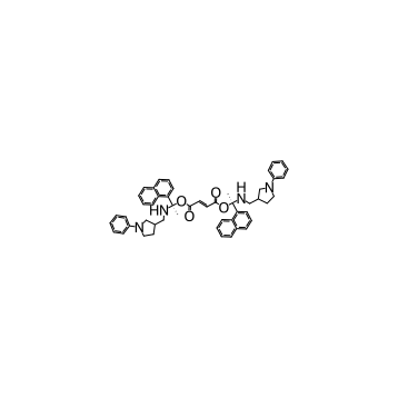 C[C@@](NCC1CCN(c2ccccc2)C1)(OC(=O)/C=C/C(=O)O[C@@](C)(NCC1CCN(c2ccccc2)C1)c1cccc2ccccc12)c1cccc2ccccc12